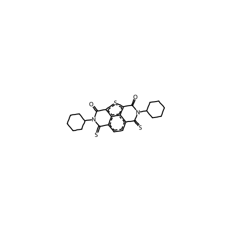 O=C1c2sc3c4c(ccc(c24)C(=S)N1C1CCCCC1)C(=S)N(C1CCCCC1)C3=O